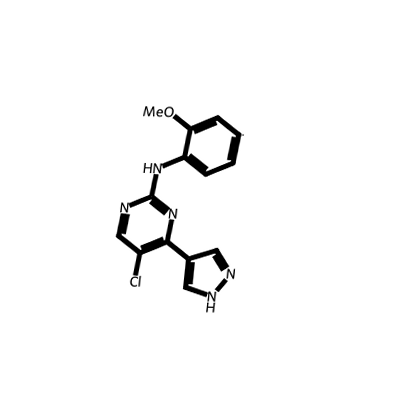 COc1c[c]ccc1Nc1ncc(Cl)c(-c2cn[nH]c2)n1